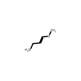 COC=CC[SiH3]